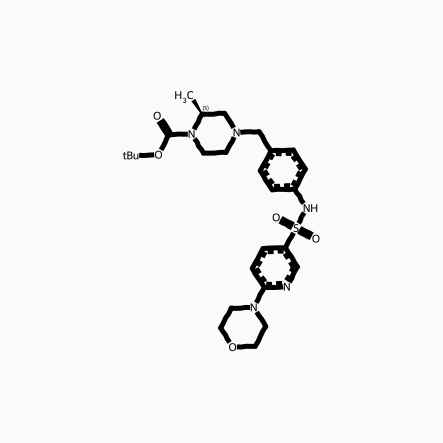 C[C@H]1CN(Cc2ccc(NS(=O)(=O)c3ccc(N4CCOCC4)nc3)cc2)CCN1C(=O)OC(C)(C)C